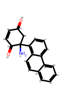 NC1(c2cccc3c2ccc2ccccc23)CC(=O)C=CC1=O